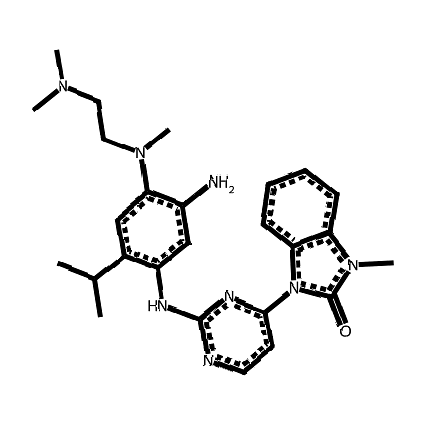 CC(C)c1cc(N(C)CCN(C)C)c(N)cc1Nc1nccc(-n2c(=O)n(C)c3ccccc32)n1